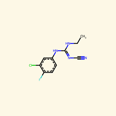 CCNC(=NC#N)Nc1ccc(F)c(Cl)c1